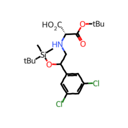 CC(C)(C)OC(=O)[C@H](NCC(O[Si](C)(C)C(C)(C)C)c1cc(Cl)cc(Cl)c1)C(=O)O